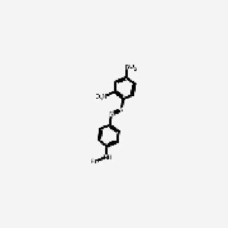 CCNc1ccc(/N=N/c2ccc([N+](=O)[O-])cc2[N+](=O)[O-])cc1